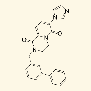 O=C1c2ccc(-n3ccnc3)c(=O)n2CCN1Cc1cccc(-c2ccccc2)c1